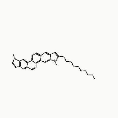 CCCCCCCCCCc1cc2cc3ccc4c5cc6c(ccn6C)cc5ccc4c3cc2n1C